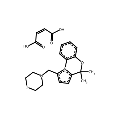 CC1(C)Oc2ccccc2-n2c(CN3CCOCC3)ccc21.O=C(O)/C=C\C(=O)O